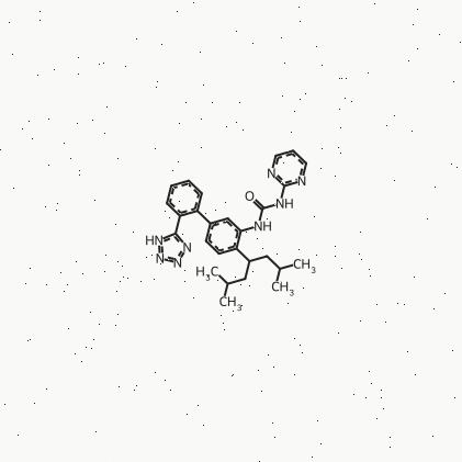 CC(C)CC(CC(C)C)c1ccc(-c2ccccc2-c2nnn[nH]2)cc1NC(=O)Nc1ncccn1